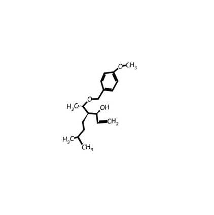 C=C[C@H](O)[C@@H](CCC(C)C)[C@H](C)OCc1ccc(OC)cc1